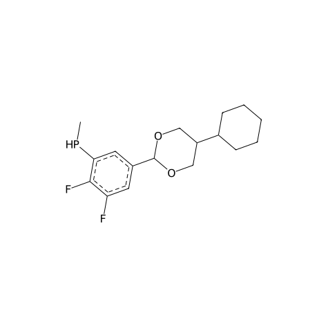 CPc1cc(C2OCC(C3CCCCC3)CO2)cc(F)c1F